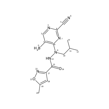 Bc1cnc(C#N)nc1N(CC(C)C)NC(=O)c1cc(C)on1